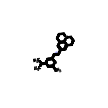 CC1=CC(=C(C)C)C=C(/C=C/c2cc3c4c(c2)CCCN4CCC3)O1